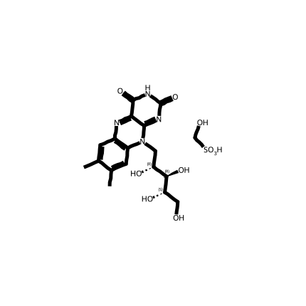 Cc1cc2nc3c(=O)[nH]c(=O)nc-3n(C[C@@H](O)[C@@H](O)[C@@H](O)CO)c2cc1C.O=S(=O)(O)CO